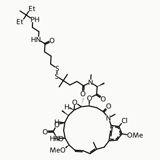 CCC(C)(CC)PCCNC(=O)CCCSSC(C)(C)CCC(=O)N(C)[C@@H](C)C(=O)O[C@H]1CC(=O)N(C)c2cc(cc(OC)c2Cl)C/C(C)=C/C=C/[C@@H](OC)[C@@]2(O)C[C@H](OC(=O)N2)[C@@H](C)[C@@H]2O[C@@]12C